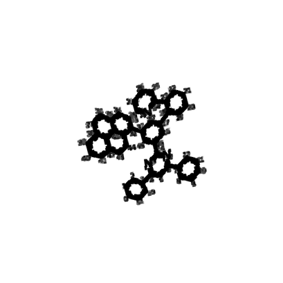 c1ccc(-c2cc(-c3ccccc3)nc(-c3cc(-c4ccccc4-c4ccccn4)cc(-c4ccc5ccc6cccc7ccc4c5c67)c3)n2)cc1